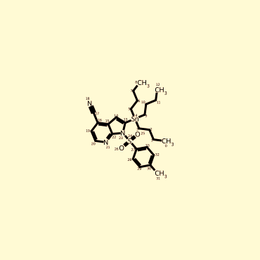 CCC[CH2][Sn]([CH2]CCC)([CH2]CCC)[c]1cc2c(C#N)ccnc2n1S(=O)(=O)c1ccc(C)cc1